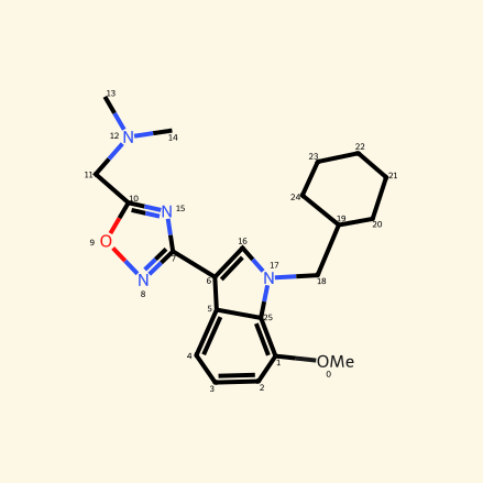 COc1cccc2c(-c3noc(CN(C)C)n3)cn(CC3CCCCC3)c12